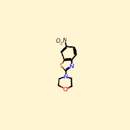 O=[N+]([O-])c1ccc2nc(N3CCOCC3)sc2c1